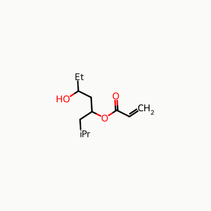 C=CC(=O)OC(CC(C)C)CC(O)CC